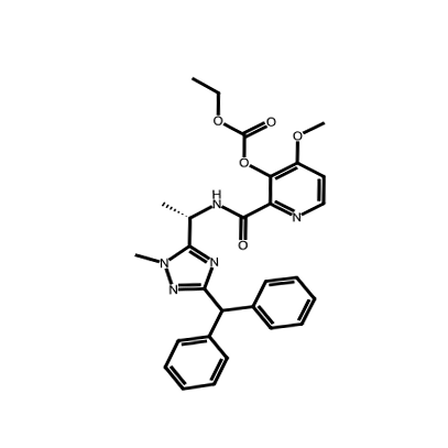 CCOC(=O)Oc1c(OC)ccnc1C(=O)N[C@@H](C)c1nc(C(c2ccccc2)c2ccccc2)nn1C